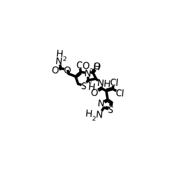 NC(=O)OCC1=C(C(=O)O)N2C(=O)C(NC(=O)C(=C(Cl)Cl)c3csc(N)n3)[C@H]2SC1